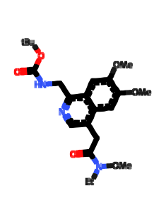 CCN(OC)C(=O)Cc1cnc(CNC(=O)OC(C)(C)C)c2cc(OC)c(OC)cc12